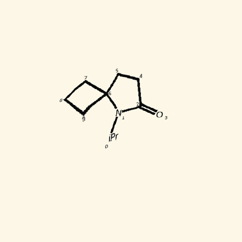 CC(C)N1C(=O)CCC12CCC2